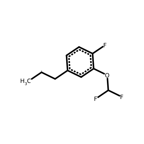 C[CH]Cc1ccc(F)c(OC(F)F)c1